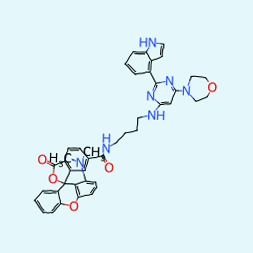 CN(C)c1cccc2c1C1(OC(=O)c3ccc(C(=O)NCCCCNc4cc(N5CCOCC5)nc(-c5cccc6[nH]ccc56)n4)cc31)c1ccccc1O2